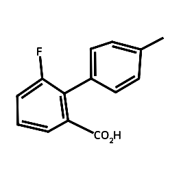 Cc1ccc(-c2c(F)cccc2C(=O)O)cc1